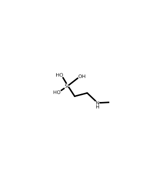 CNCC[Si](O)(O)O